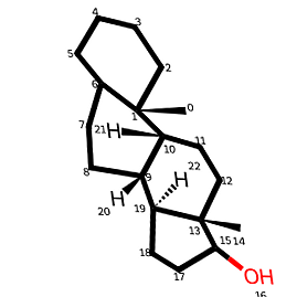 C[C@]12CCCCC1CC[C@@H]1[C@H]2CC[C@]2(C)C(O)CC[C@@H]12